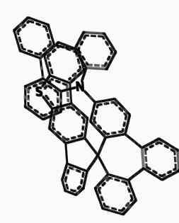 c1ccc2c(c1)-c1ccccc1N(c1ccc3c(c1)C1(c4ccccc4-c4ccccc4-3)c3ccccc3-c3cc4sc5ccccc5c4cc31)c1ccccc1-2